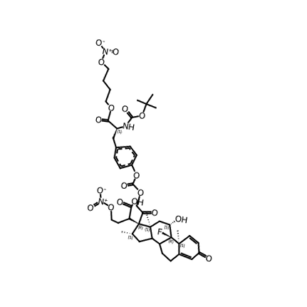 C[C@H]1CC2C3CCC4=CC(=O)C=C[C@]4(C)[C@@]3(F)[C@@H](O)C[C@]2(C)[C@]1(C(=O)COC(=O)Oc1ccc(C[C@H](NC(=O)OC(C)(C)C)C(=O)OCCCCO[N+](=O)[O-])cc1)C(CCO[N+](=O)[O-])C(=O)O